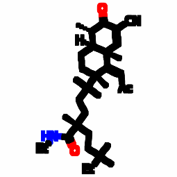 CCNC(=O)[C@@](C)(CCC(C)(C)CC)CCC(C)(C)[C@]1(C)CC[C@H]2[C@H](C)C(=O)C(C#N)=C[C@]2(C)/C1=C/C(C)=O